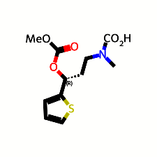 COC(=O)O[C@H](CCN(C)C(=O)O)c1cccs1